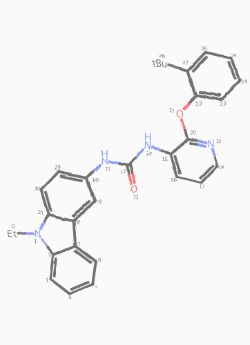 CCn1c2ccccc2c2cc(NC(=O)Nc3cccnc3Oc3ccccc3C(C)(C)C)ccc21